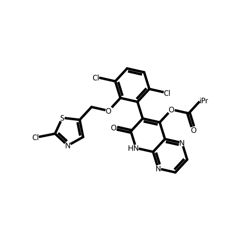 CC(C)C(=O)Oc1c(-c2c(Cl)ccc(Cl)c2OCc2cnc(Cl)s2)c(=O)[nH]c2nccnc12